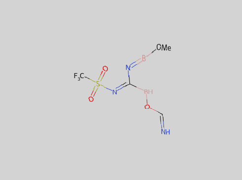 CO/B=N/C(BOC=N)=N\S(=O)(=O)C(F)(F)F